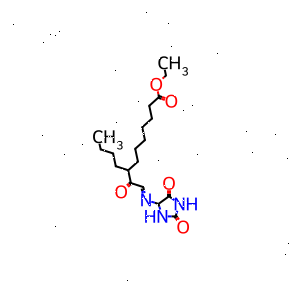 CCCCC(CCCCCCC(=O)OCC)C(=O)C=NC1NC(=O)NC1=O